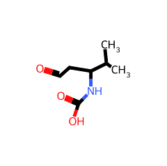 CC(C)C(CC=O)NC(=O)O